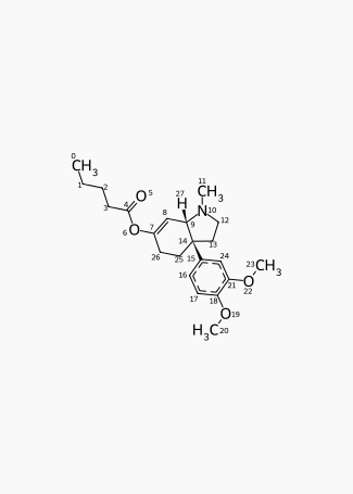 CCCCC(=O)OC1=C[C@@H]2N(C)CC[C@]2(c2ccc(OC)c(OC)c2)CC1